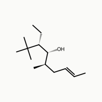 C/C=C/C[C@@H](C)[C@@H](O)[C@@H](CC)C(C)(C)C